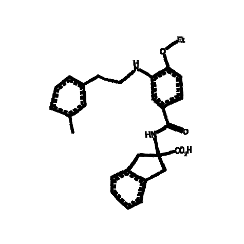 CCOc1ccc(C(=O)NC2(C(=O)O)Cc3ccccc3C2)cc1NCCc1cccc(C)c1